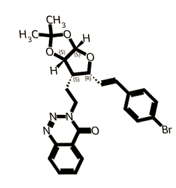 CC1(C)O[C@@H]2O[C@H](C=Cc3ccc(Br)cc3)[C@H](CCn3nnc4ccccc4c3=O)[C@@H]2O1